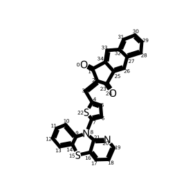 O=C1C(=Cc2ccc(N3c4ccccc4Sc4cccnc43)s2)C(=O)c2cc3ccccc3cc21